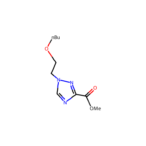 CCCCOCCn1cnc(C(=O)OC)n1